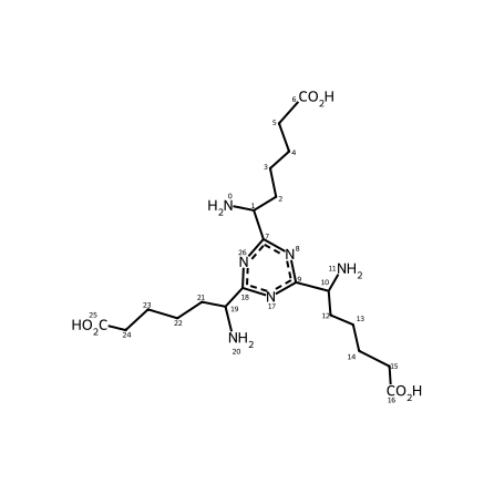 NC(CCCCC(=O)O)c1nc(C(N)CCCCC(=O)O)nc(C(N)CCCCC(=O)O)n1